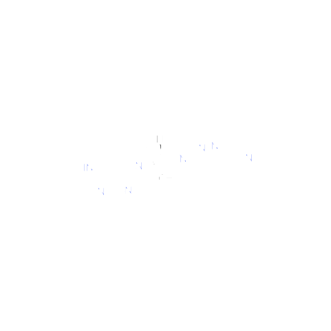 C[C@@]12CN(c3ccc(C#N)nn3)C[C@H]1CCN(c1ncnc3[nH]ccc13)C2